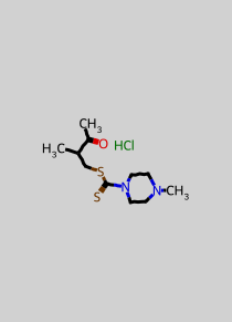 CC(=O)C(C)CSC(=S)N1CCN(C)CC1.Cl